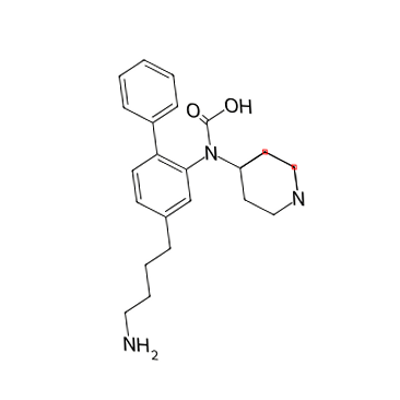 NCCCCc1ccc(-c2ccccc2)c(N(C(=O)O)C23CCN(CC2)CC3)c1